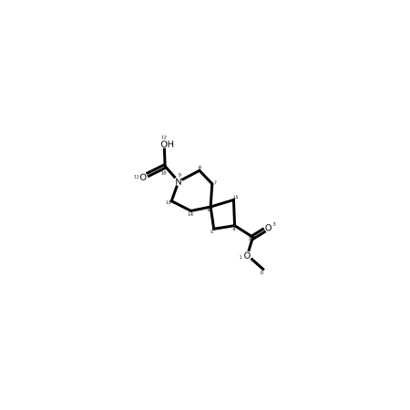 COC(=O)C1CC2(CCN(C(=O)O)CC2)C1